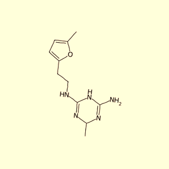 Cc1ccc(CCNC2=NC(C)N=C(N)N2)o1